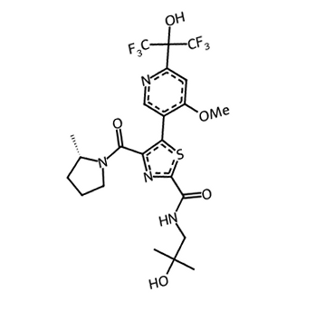 COc1cc(C(O)(C(F)(F)F)C(F)(F)F)ncc1-c1sc(C(=O)NCC(C)(C)O)nc1C(=O)N1CCC[C@@H]1C